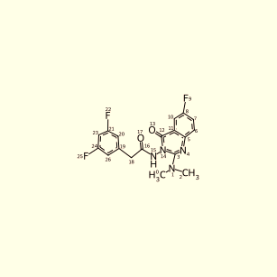 CN(C)c1nc2ccc(F)cc2c(=O)n1NC(=O)Cc1cc(F)cc(F)c1